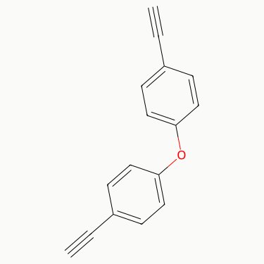 C#Cc1ccc(Oc2ccc(C#C)cc2)cc1